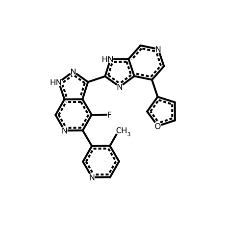 Cc1ccncc1-c1ncc2[nH]nc(-c3nc4c(-c5ccoc5)cncc4[nH]3)c2c1F